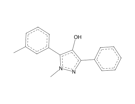 Cc1cccc(-c2c(O)c(-c3ccccc3)nn2C)c1